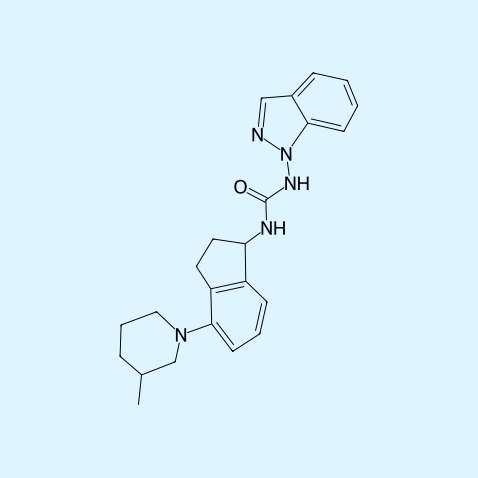 CC1CCCN(c2cccc3c2CCC3NC(=O)Nn2ncc3ccccc32)C1